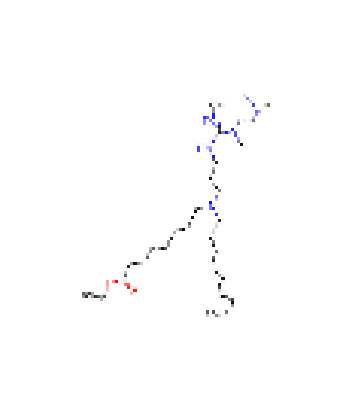 CCCCCCCCCOC(=O)CCCCCCCN(CCCCCCCC(=O)O)CCCN/C(=N/C#N)N(C)CCN(C)C